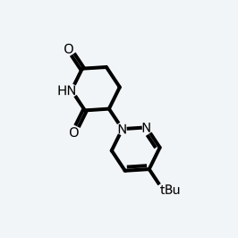 CC(C)(C)C1=CCN(C2CCC(=O)NC2=O)N=C1